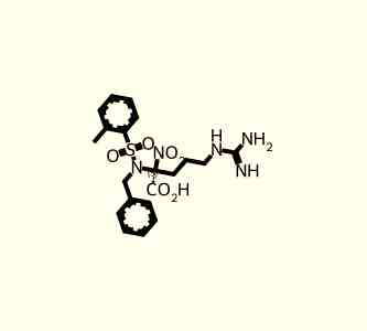 Cc1ccccc1S(=O)(=O)N(Cc1ccccc1)[C@@](CCCNC(=N)N)(C(=O)O)[N+](=O)[O-]